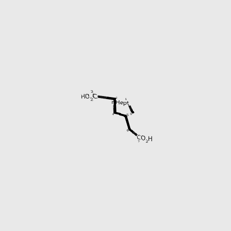 CCCCCCCC.O=C(O)CCCCC(=O)O